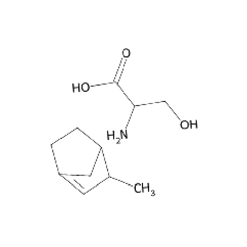 CC1C=C2CCC1C2.NC(CO)C(=O)O